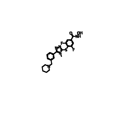 Cn1c(Sc2c(F)cc(C(=O)NO)cc2F)nnc1-c1cccc(CN2CCCCC2)c1